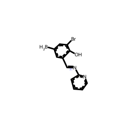 Bc1cc(Br)c(O)c(/C=N/c2ccccn2)c1